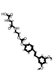 COc1cc(C=Cc2ccc(OC(=O)OCCNC(=O)CNC(=O)O)cc2)cc(OC)c1